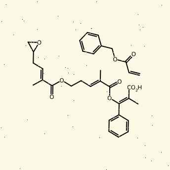 C=CC(=O)OCc1ccccc1.CC(=CCC1CO1)C(=O)OCCC=C(C)C(=O)OC(=C(C)C(=O)O)c1ccccc1